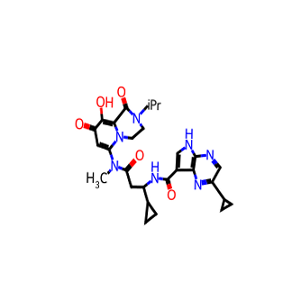 CC(C)N1CCn2c(N(C)C(=O)CC(NC(=O)c3c[nH]c4ncc(C5CC5)nc34)C3CC3)cc(=O)c(O)c2C1=O